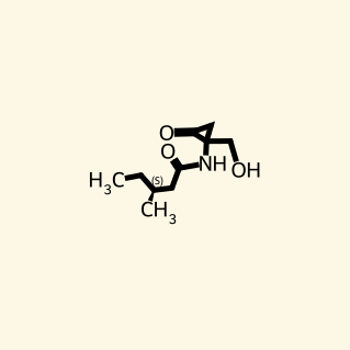 CC[C@H](C)CC(=O)NC1(CO)CC1=O